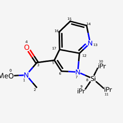 CON(C)C(=O)c1cn([Si](C(C)C)(C(C)C)C(C)C)c2ncccc12